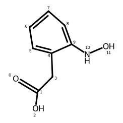 O=C(O)Cc1ccccc1NO